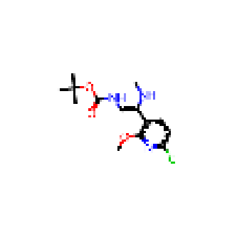 CN/C(=C\NC(=O)OC(C)(C)C)c1ccc(Cl)nc1OC